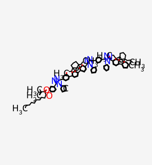 C=C(C)C(=O)C(CCCCCCCCC)Oc1ccc(-c2nnc(-c3ccc(-c4ccc5c(c4)C4(c6cc(-c7nnc(-c8ccc(-c9nnc(-c%10ccc%11c(c%10)C%10(c%12cc(C)ccc%12-%11)C%11(CCC)CCCC%10(CCC)CCC%11)n9-c9ccccc9)cc8)n7-c7ccccc7)ccc6-5)C5(CCC)CCCC4(CCC)CCC5)cc3)n2-c2ccccc2)cc1